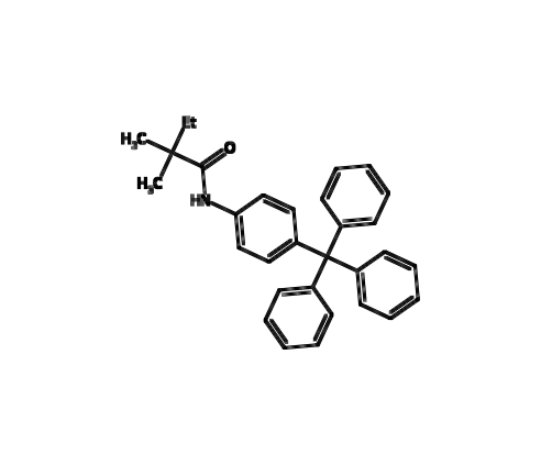 CCC(C)(C)C(=O)Nc1ccc(C(c2ccccc2)(c2ccccc2)c2ccccc2)cc1